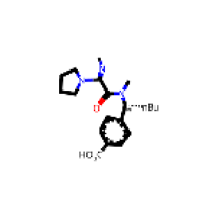 CCCC[C@H](c1ccc(C(=O)O)cc1)N(C)C(=O)C(=NC)N1CCCC1